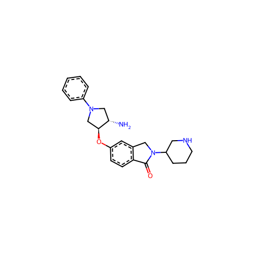 N[C@H]1CN(c2ccccc2)C[C@@H]1Oc1ccc2c(c1)CN(C1CCCNC1)C2=O